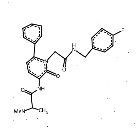 CNC(C)C(=O)Nc1ccc(-c2ccccc2)n(CC(=O)NCc2ccc(F)cc2)c1=O